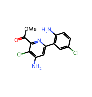 COC(=O)c1nc(-c2cc(Cl)ccc2N)cc(N)c1Cl